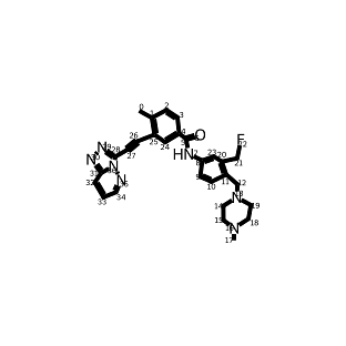 Cc1ccc(C(=O)Nc2ccc(CN3CCN(C)CC3)c(CF)c2)cc1C#Cc1nnc2cccnn12